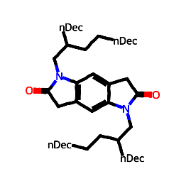 CCCCCCCCCCCCC(CCCCCCCCCC)CN1C(=O)Cc2cc3c(cc21)CC(=O)N3CC(CCCCCCCCCC)CCCCCCCCCCCC